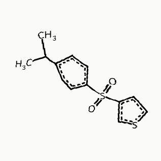 CC(C)c1ccc(S(=O)(=O)c2ccsc2)cc1